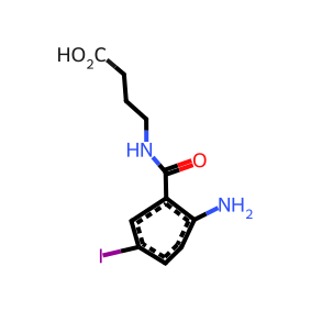 Nc1ccc(I)cc1C(=O)NCCCC(=O)O